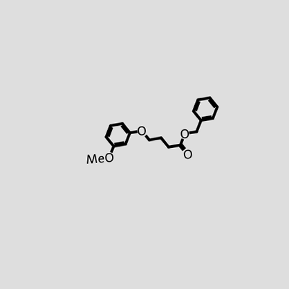 COc1cccc(OCCCC(=O)OCc2ccccc2)c1